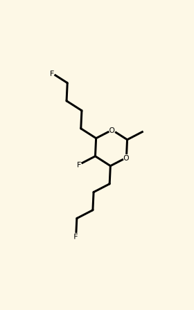 CC1OC(CCCCF)C(F)C(CCCCF)O1